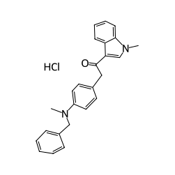 CN(Cc1ccccc1)c1ccc(CC(=O)c2cn(C)c3ccccc23)cc1.Cl